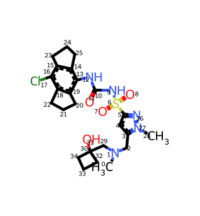 CN(Cc1cc(S(=O)(=O)NC(=O)Nc2c3c(c(Cl)c4c2CCC4)CCC3)nn1C)CC1(O)CCC1